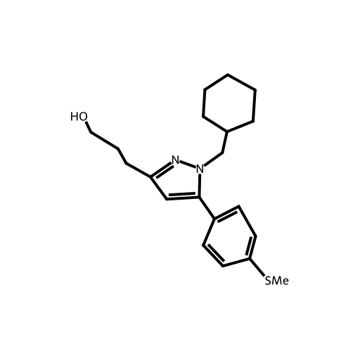 CSc1ccc(-c2cc(CCCO)nn2CC2CCCCC2)cc1